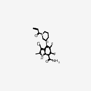 C=CC(=O)N1CCC[C@@H](c2c(F)c(F)c(C(N)=O)c3[nH]c(C)c(Cl)c23)C1